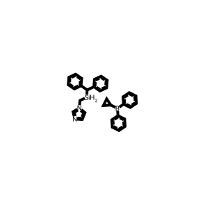 c1ccc(B(c2ccccc2)C2CC2)cc1.c1ccc(C([SiH2]Cn2ccnc2)c2ccccc2)cc1